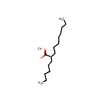 CCCCCCCCC(CCCCCC)C(=O)[O-].[Cs+]